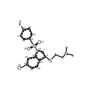 CN(C)CCSc1cn(S(=O)(=O)c2ccc(F)cc2)c2cc(Cl)ccc12